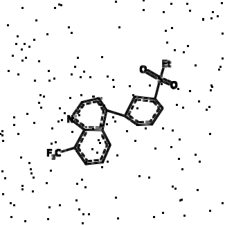 CCS(=O)(=O)c1cccc(-c2[c]cnc3c(C(F)(F)F)cccc23)c1